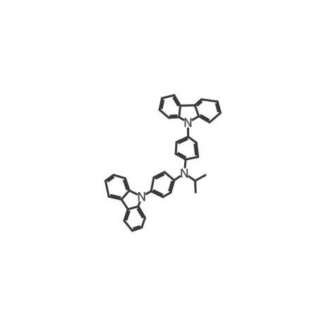 CC(C)N(c1ccc(-n2c3ccccc3c3ccccc32)cc1)c1ccc(-n2c3ccccc3c3ccccc32)cc1